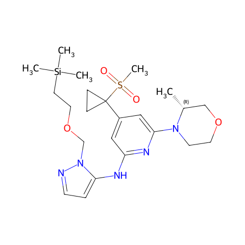 C[C@@H]1COCCN1c1cc(C2(S(C)(=O)=O)CC2)cc(Nc2ccnn2COCC[Si](C)(C)C)n1